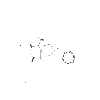 CC1C(=O)NC(=O)C(C(N)=O)C12CCN(Cc1ccccc1)CC2